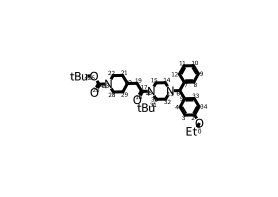 CCOc1ccc(C(c2ccccc2)N2CCN(C(=O)CC3CCN(C(=O)OC(C)(C)C)CC3)[C@@H](C(C)(C)C)C2)cc1